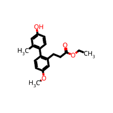 CCOC(=O)CCc1cc(OC)ccc1-c1ccc(O)cc1C